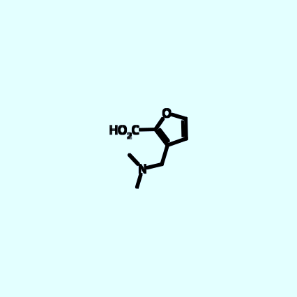 CN(C)Cc1ccoc1C(=O)O